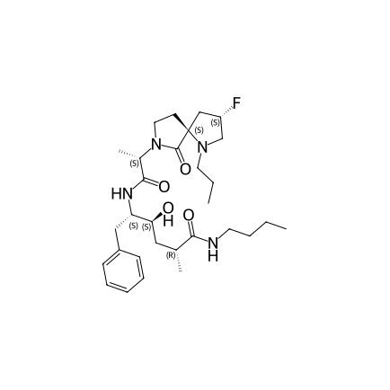 CCCCNC(=O)[C@H](C)C[C@H](O)[C@H](Cc1ccccc1)NC(=O)[C@H](C)N1CC[C@]2(C[C@H](F)CN2CCC)C1=O